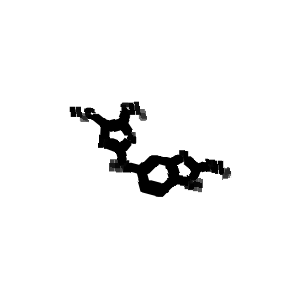 Cc1nc(Nc2ccc3[nH]c(N)nc3c2)sc1C